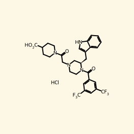 Cl.O=C(O)C1CCN(C(=O)CN2CCN(C(=O)c3cc(C(F)(F)F)cc(C(F)(F)F)c3)[C@H](Cc3c[nH]c4ccccc34)C2)CC1